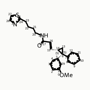 COc1cccc([C@@]2(c3ccccc3)C[C@H]2C=CC(=O)NCCCCc2nccs2)c1